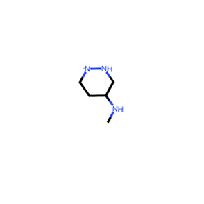 CNC1CC[N]NC1